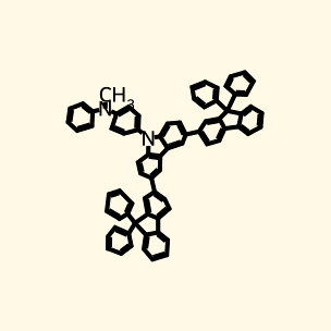 CN(c1ccccc1)c1ccc(-n2c3ccc(-c4ccc5c(c4)C(c4ccccc4)(c4ccccc4)c4ccccc4-5)cc3c3cc(-c4ccc5c(c4)C(c4ccccc4)(c4ccccc4)c4ccccc4-5)ccc32)cc1